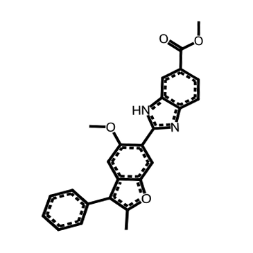 COC(=O)c1ccc2nc(-c3cc4oc(C)c(-c5ccccc5)c4cc3OC)[nH]c2c1